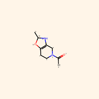 CCC(=O)N1CCC2=C(C1)NC(C)O2